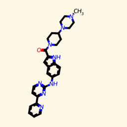 CN1CCN(C2CCN(C(=O)c3cc4cc(Nc5nccc(-c6ccccn6)n5)ccc4[nH]3)CC2)CC1